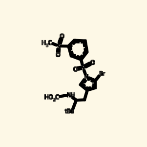 CC(C)(C)C(Cc1cc(Br)n(S(=O)(=O)c2cccc(S(C)(=O)=O)c2)c1)NC(=O)O